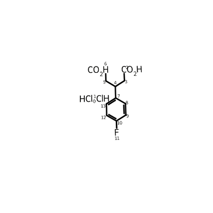 Cl.Cl.O=C(O)CC(CC(=O)O)c1ccc(F)cc1